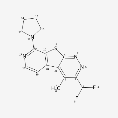 Cc1c(C(F)F)nnc2sc3c(N4CCCC4)nccc3c12